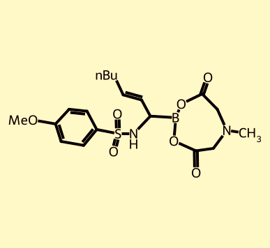 CCCCC=CC(NS(=O)(=O)c1ccc(OC)cc1)B1OC(=O)CN(C)CC(=O)O1